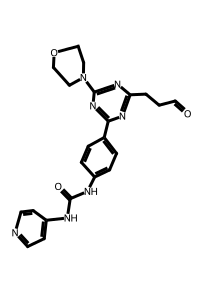 O=CCCc1nc(-c2ccc(NC(=O)Nc3ccncc3)cc2)nc(N2CCOCC2)n1